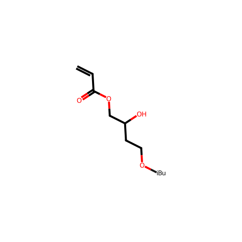 C=CC(=O)OCC(O)CCOC(C)CC